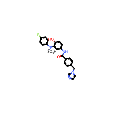 O=C(Nc1ccc(O)c(N(c2ccc(F)cc2)S(=O)(=O)O)c1)c1ccc(Cn2ccnc2)cc1